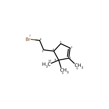 CC1=CCC(CCBr)C1(C)C